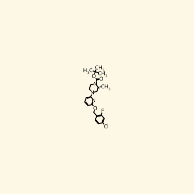 C[C@H]1CN(c2cccc(OCc3ccc(Cl)cc3F)n2)CCN1C(=O)OC(C)(C)C